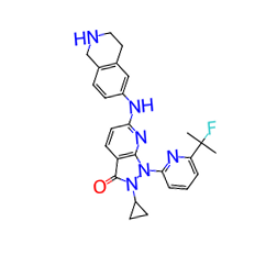 CC(C)(F)c1cccc(-n2c3nc(Nc4ccc5c(c4)CCNC5)ccc3c(=O)n2C2CC2)n1